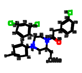 COC[C@H]1CN(c2ccc(C)cc2)[C@H](c2ccc(Cl)cc2Cl)CN1C(=O)Cc1cccc(Cl)c1